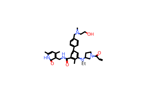 C=CC(=O)N1CCC(N(CC)c2cc(-c3ccc(CN(C)CCO)cc3)cc(C(=O)NCc3c(C)cc(C)[nH]c3=O)c2C)C1